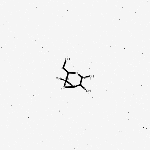 OCC1O[C@@H](O)C(O)C2O[C@H]12